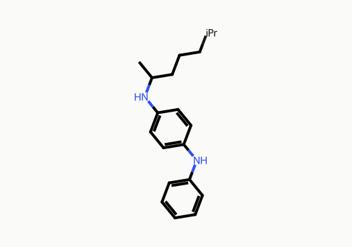 CC(C)CCCC(C)Nc1ccc(Nc2ccccc2)cc1